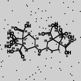 O=C(O)C1(C(=O)O)CCC(OC2CCC(C(=O)O)(C(=O)O)C(C(=O)O)(C(=O)O)C2)CC1(C(=O)O)C(=O)O